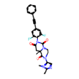 Cc1ncc(N2CCN3C(=O)N(c4c(F)cc(C#Cc5ccccc5)cc4F)C(=O)CC3(C)C2=O)n1C